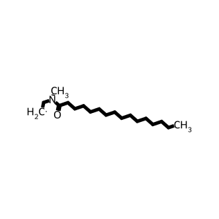 [CH2]CN(C)C(=O)CCCCCCCCCCCCCCC